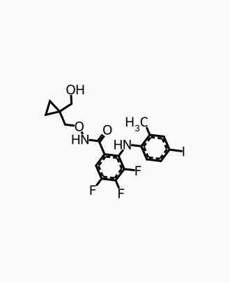 Cc1cc(I)ccc1Nc1c(C(=O)NOCC2(CO)CC2)cc(F)c(F)c1F